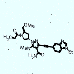 C=CC(=O)N1C[C@@H](n2nc(C#Cc3ccc4c(c3)ncn4CC)c(C(N)=O)c2NC)C/C1=C\OC